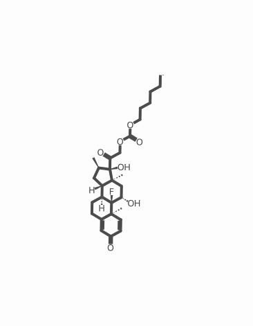 [CH2]CCCCCOC(=O)OCC(=O)[C@@]1(O)[C@H](C)C[C@H]2[C@@H]3CCC4=CC(=O)C=C[C@]4(C)[C@@]3(F)[C@@H](O)C[C@@]21C